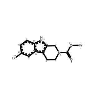 CC(C)OC(=O)N1CCc2c([nH]c3ccc(Br)cc23)C1